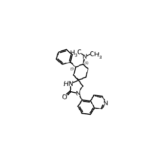 CN(C)[C@H]1CCC2(C[C@H]1c1ccccc1)CN(c1cccc3cnccc13)C(=O)N2